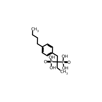 CCCCc1ccc(CC(CC)(P(=O)(O)O)P(=O)(O)O)cc1